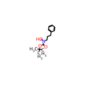 CC(C)(C)OC(=O)N(O)CCCc1ccccc1